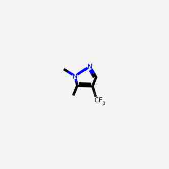 Cc1c(C(F)(F)F)cnn1C